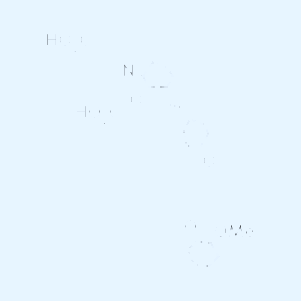 COc1ccccc1OCCCCOc1ccc(C=Cc2cccc3c2OC(C(=O)O)CN3CCCC(=O)O)cc1